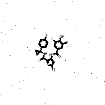 O=C(Nc1cc(Cl)sc1C(=O)NC1(c2ccc(F)cc2)CC1)c1cc(F)c(O)c(F)c1